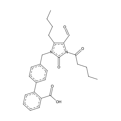 CCCCC(=O)n1c(C=O)c(CCCC)n(Cc2ccc(-c3ccccc3C(=O)O)cc2)c1=O